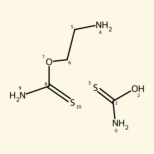 NC(O)=S.NCCOC(N)=S